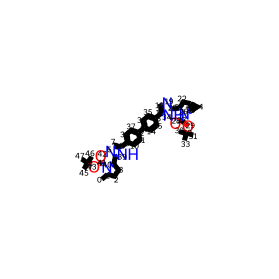 CC1CCC(c2ncc(-c3ccc(-c4ccc(-c5cnc(C6CC7CC7N6C(=O)OC(C)(C)C)[nH]5)cc4)cc3)[nH]2)N1C(=O)OC(C)(C)C